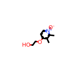 Cc1c(OCCO)cc[n+]([O-])c1C